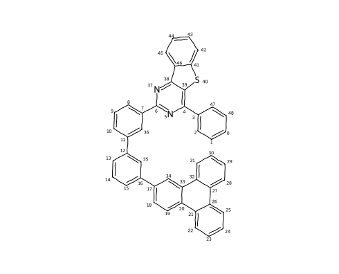 c1ccc(-c2nc(-c3cccc(-c4cccc(-c5ccc6c7ccccc7c7ccccc7c6c5)c4)c3)nc3c2sc2ccccc23)cc1